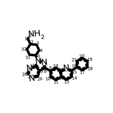 NCC1CCC(n2nc(-c3ccc4ccc(-c5ccccc5)nc4c3)c3cncnc32)CC1